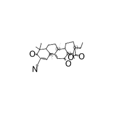 CC[C@@]12CCC3[C@](OC1=O)(C(=O)C=C1[C@@]4(C)C=C(C#N)C(=O)C(C)(C)C4CC[C@]13C)C2C